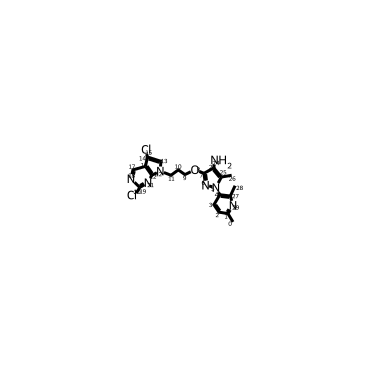 Cc1ccc(-n2nc(OCCCn3cc(Cl)c4cnc(Cl)nc43)c(N)c2C)c(C)n1